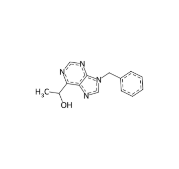 CC(O)c1ncnc2c1ncn2Cc1ccccc1